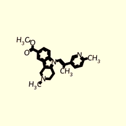 COC(=O)c1ccc2c(c1)c1c(n2/C=C(\C)c2ccc(C)nc2)CCN(C)C1